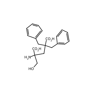 NC(CO)(CC(Cc1ccccc1)(Cc1ccccc1)C(=O)O)C(=O)O